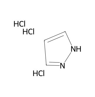 Cl.Cl.Cl.c1cn[nH]c1